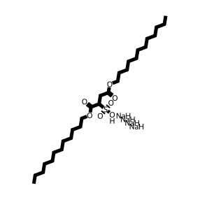 CCCCCCCCCCCCOC(=O)CC(C(=O)OCCCCCCCCCCCC)S(=O)(=O)O.[NaH].[NaH].[NaH].[NaH]